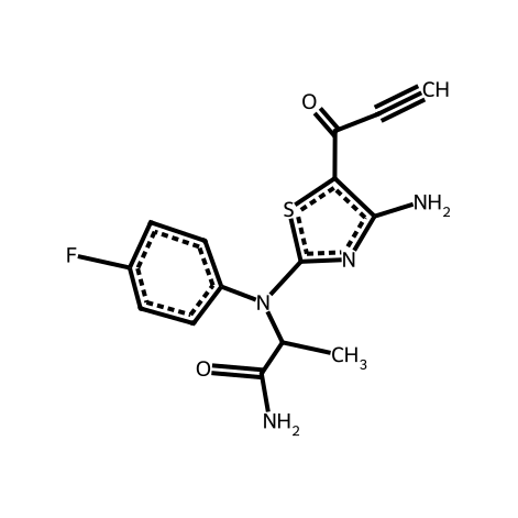 C#CC(=O)c1sc(N(c2ccc(F)cc2)C(C)C(N)=O)nc1N